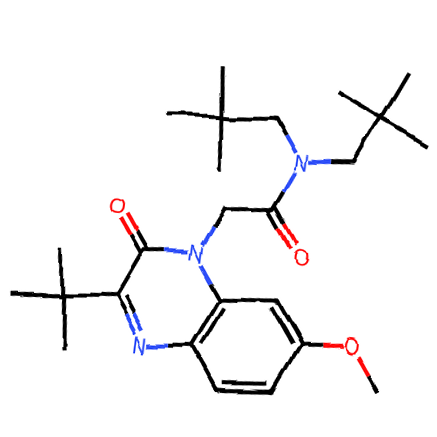 COc1ccc2nc(C(C)(C)C)c(=O)n(CC(=O)N(CC(C)(C)C)CC(C)(C)C)c2c1